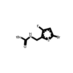 CC(C)(C)C(=O)NCc1sc(Br)cc1F